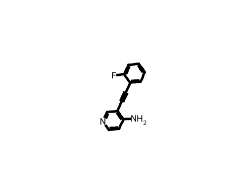 Nc1ccncc1C#Cc1ccccc1F